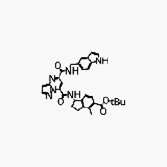 Cc1c(C(=O)OC(C)(C)C)ccc2c1CC[C@@H]2NC(=O)c1cc(C(=O)NCc2ccc3[nH]ccc3c2)nc2ccnn12